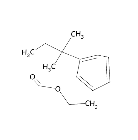 CCC(C)(C)c1ccccc1.CCOC=O